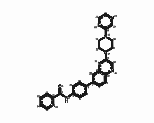 O=C(Nc1ccc(-c2ccc3ncc(N4CCN(c5cnccn5)CC4)nc3c2)cc1)c1ccccn1